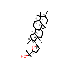 C[C@H]1C[C@@]2(C)C3C[C@H](C)[C@H]4C(C)(C)[C@@H](C)CC[C@@]45C[C@@]35CC[C@]2(C)[C@H]1[C@@]1(C)CC[C@@H](C(C)(C)O)O1